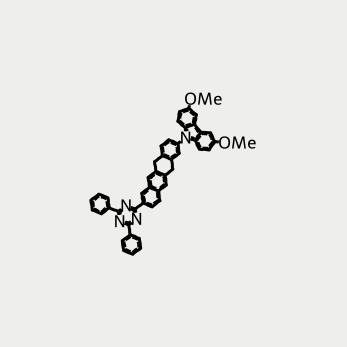 COc1ccc2c(c1)c1cc(OC)ccc1n2-c1ccc2c(c1)Cc1cc3ccc(-c4nc(-c5ccccc5)nc(-c5ccccc5)n4)cc3cc1C2